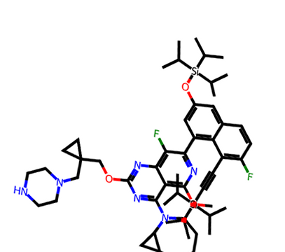 COc1nc(-c2cc(O[Si](C(C)C)(C(C)C)C(C)C)cc3ccc(F)c(C#C[Si](C(C)C)(C(C)C)C(C)C)c23)c(F)c2nc(OCC3(CN4CCNCC4)CC3)nc(N3CCCOC4CC43)c12